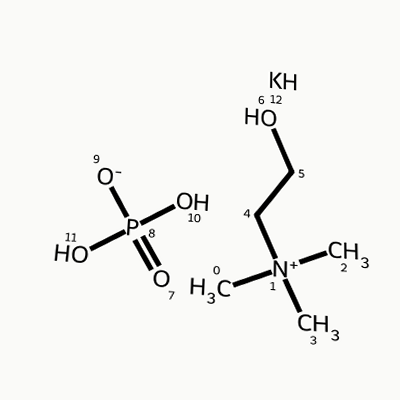 C[N+](C)(C)CCO.O=P([O-])(O)O.[KH]